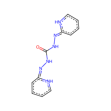 O=C(NN=c1cccc[nH]1)NN=c1cccc[nH]1